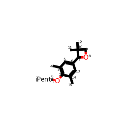 CCCC(C)Oc1c(C)cc(C2OCC2(C)C)cc1C